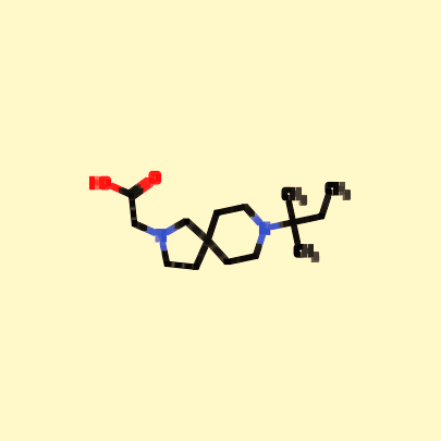 CCC(C)(C)N1CCC2(CCN(CC(=O)O)C2)CC1